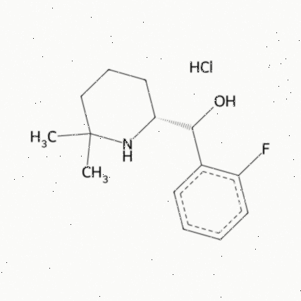 CC1(C)CCC[C@H](C(O)c2ccccc2F)N1.Cl